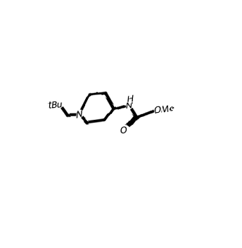 COC(=O)NC1CCN(CC(C)(C)C)CC1